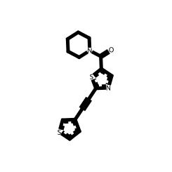 O=C(c1cnc(C#Cc2ccsc2)s1)N1CCCCC1